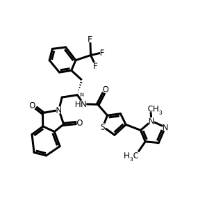 Cc1cnn(C)c1-c1csc(C(=O)N[C@@H](Cc2ccccc2C(F)(F)F)CN2C(=O)c3ccccc3C2=O)c1